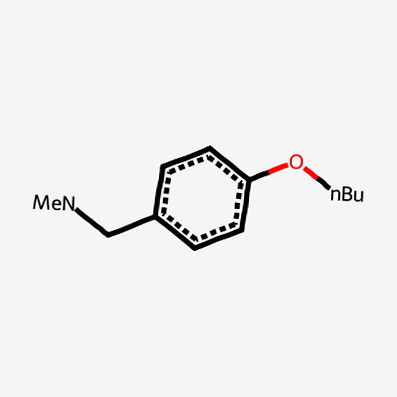 CCCCOc1ccc(CNC)cc1